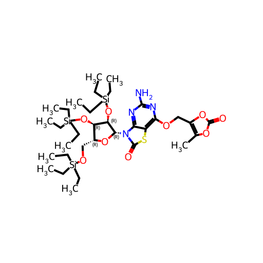 CC[Si](CC)(CC)OC[C@H]1O[C@@H](n2c(=O)sc3c(OCc4oc(=O)oc4C)nc(N)nc32)[C@H](O[Si](CC)(CC)CC)[C@@H]1O[Si](CC)(CC)CC